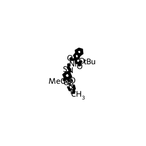 COc1cc2sc(CNC(=O)C3(CC(=O)OC(C)(C)C)Cc4ccccc4C3)nc2cc1S(=O)(=O)N1CCN(C)CC1